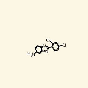 Nc1ccc2oc(-c3ccc(Cl)cc3Cl)nc2c1